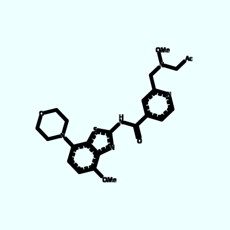 COc1ccc(N2CCOCC2)c2sc(NC(=O)c3ccnc(CN(CC(C)=O)OC)c3)nc12